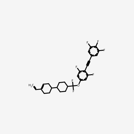 C=CC1=CCC(C2CCC(C(F)(F)Oc3cc(F)c(C#Cc4cc(F)c(F)c(F)c4)c(F)c3)CC2)CC1